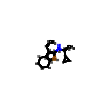 C=Cc1c(NC(=C)C2CC2)sc2c1CCCC2